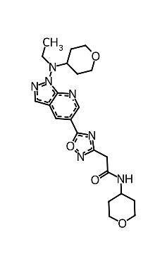 CCN(C1CCOCC1)n1ncc2cc(-c3nc(CC(=O)NC4CCOCC4)no3)cnc21